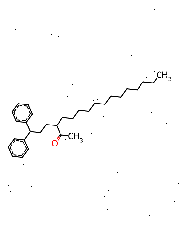 CCCCCCCCCCCCCC(CCC(c1ccccc1)c1ccccc1)C(C)=O